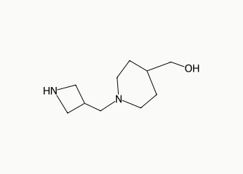 OCC1CCN(CC2CNC2)CC1